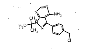 CC(C)(C)n1nc(-c2ccc(CCl)cc2)c2c(N)ncnc21